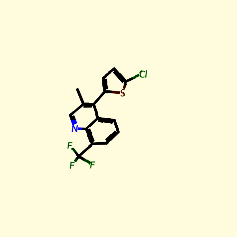 Cc1cnc2c(C(F)(F)F)cccc2c1-c1ccc(Cl)s1